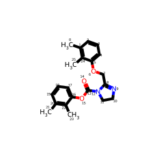 Cc1cccc(OCC2=NCCN2C(=O)Oc2cccc(C)c2C)c1C